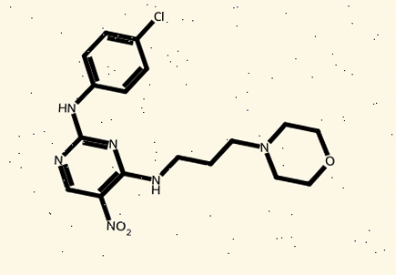 O=[N+]([O-])c1cnc(Nc2ccc(Cl)cc2)nc1NCCCN1CCOCC1